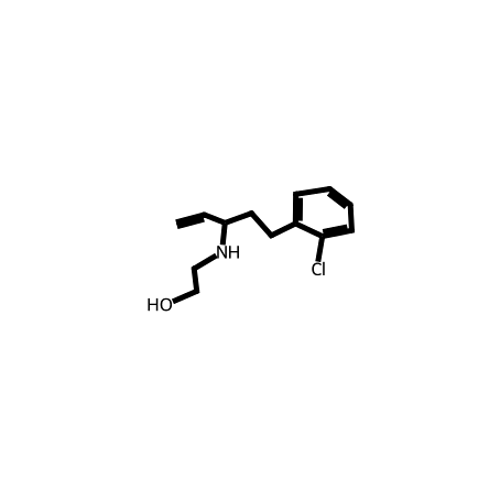 C=CC(CCc1ccccc1Cl)NCCO